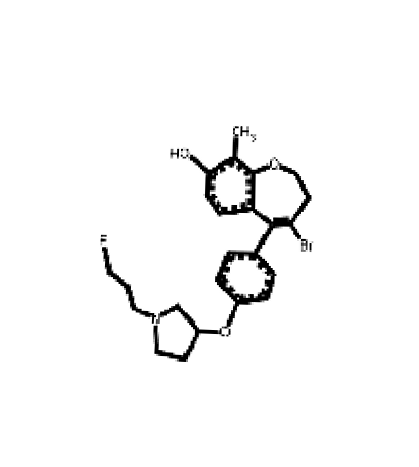 Cc1c(O)ccc2c1OCCC(Br)=C2c1ccc(OC2CCN(CCCF)C2)cc1